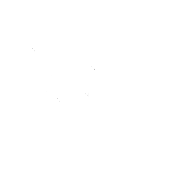 CCCCc1ncc2c(n1)NC(=O)C21CCNCC1